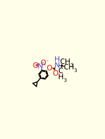 CC(C)(C)NC(=O)Oc1ccc(C2CC2)cc1[N+](=O)[O-]